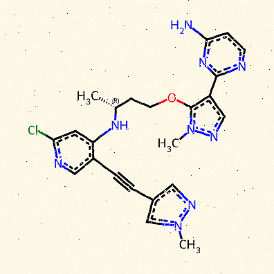 C[C@H](CCOc1c(-c2nccc(N)n2)cnn1C)Nc1cc(Cl)ncc1C#Cc1cnn(C)c1